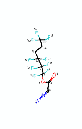 [N-]=[N+]=CC(=O)OC(F)(F)C(F)(F)C(F)(F)CCC(F)(F)F